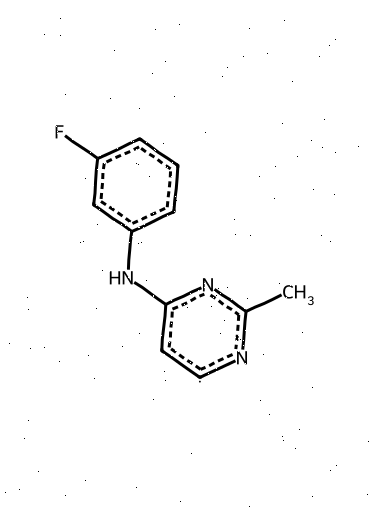 Cc1n[c]cc(Nc2cccc(F)c2)n1